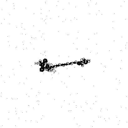 CO[C@@H]1[C@H](N(C)C(=O)CCOCCOCCOCCOCCOCCOc2ccc3c(c2)C(=O)N(C2CCC(=O)NC2=O)C3=O)C[C@H]2O[C@]1(C)n1c3ccccc3c3c4c(c5c6ccccc6n2c5c31)C(=O)NC4